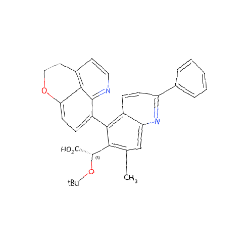 Cc1cc2nc(-c3ccccc3)ccc2c(-c2ccc3c4c(ccnc24)CCO3)c1[C@H](OC(C)(C)C)C(=O)O